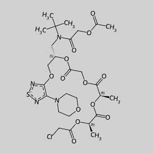 CC(=O)OCC(=O)N(C[C@@H](COc1nsnc1N1CCOCC1)OC(=O)COC(=O)[C@@H](C)OC(=O)[C@@H](C)OC(=O)CCl)C(C)(C)C